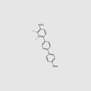 CCCCCCCCCCc1ccc(-c2ccc(-c3ccc(CCCCCCCC)c(F)c3F)cc2)cc1